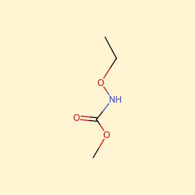 CCONC(=O)OC